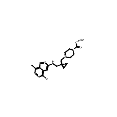 Cc1nnc(Cl)c2cc(NCC3(CN4CCN(C(=O)OC(C)(C)C)CC4)CC3)ncc12